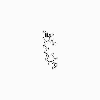 COC1=CC=C(COCc2nn(C)c(C)c2Br)CC1